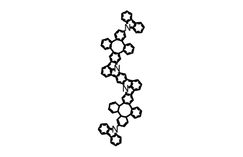 C1=CC2c3cc4c(cc3-c3ccccc3C3C=CC(n5c6ccccc6c6ccccc65)=CC3C2C=C1)c1cccc2c3cc5c(cc3n4c12)c1cccc2c3cc4c(cc3n5c21)-c1ccccc1-c1cc(-n2c3ccccc3c3ccccc32)ccc1-c1ccccc1-4